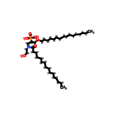 CCCCCCCCCCCCCCCCOCC(CN(CCO)C(=O)CCCCCCCCCCCCCCC)P(=O)(O)O